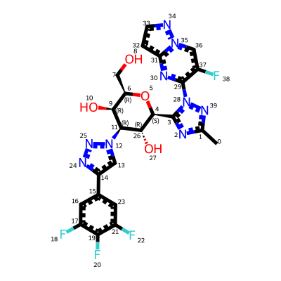 Cc1nc([C@@H]2O[C@H](CO)[C@H](O)[C@H](n3cc(-c4cc(F)c(F)c(F)c4)nn3)[C@H]2O)n(-c2nc3ccnn3cc2F)n1